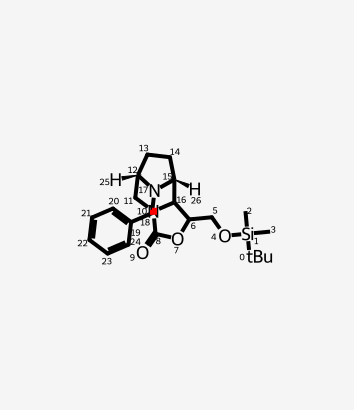 CC(C)(C)[Si](C)(C)OCC1OC(=O)N2C[C@@H]3CC[C@H](C12)N3Cc1ccccc1